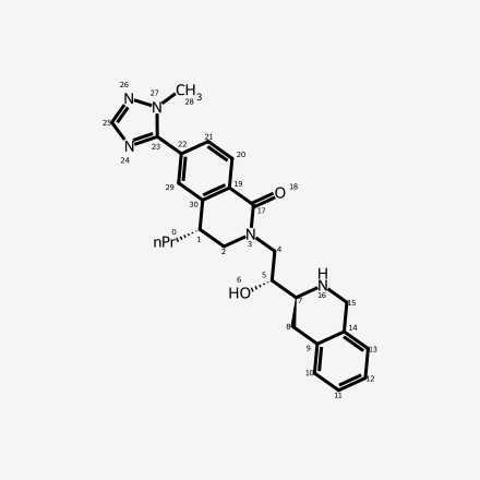 CCC[C@H]1CN(C[C@@H](O)[C@@H]2Cc3ccccc3CN2)C(=O)c2ccc(-c3ncnn3C)cc21